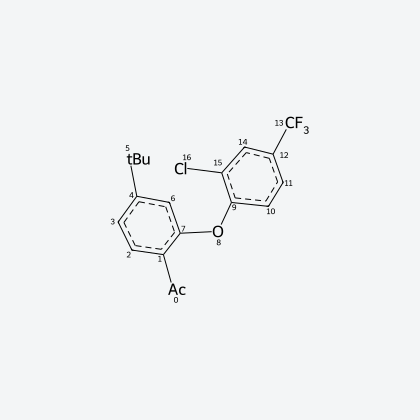 CC(=O)c1ccc(C(C)(C)C)cc1Oc1ccc(C(F)(F)F)cc1Cl